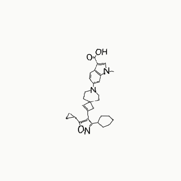 Cn1cc(C(=O)O)c2ccc(N3CCC4(C=C(c5c(C6CCCCC6)noc5C5CC5)C4)CC3)cc21